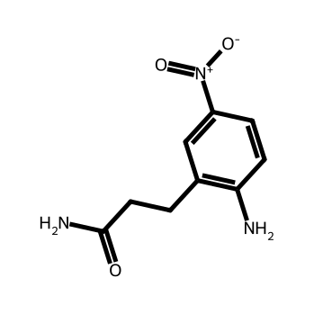 NC(=O)CCc1cc([N+](=O)[O-])ccc1N